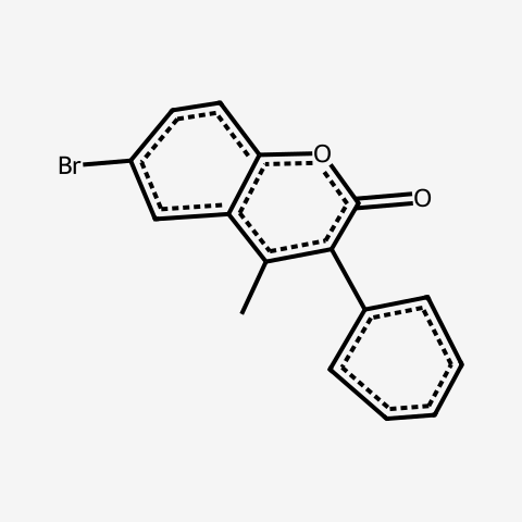 Cc1c(-c2ccccc2)c(=O)oc2ccc(Br)cc12